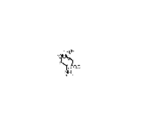 NCCN.O=C([O-])CC(=O)[O-].[Pt+2]